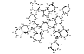 c1ccc(-c2ccc3c(-c4cn(-c5ccccc5)c5ccccc45)c4cc5c(cc4c(-c4cn(-c6ccccc6)c6ccccc46)c3c2)c(-c2ccccc2)c(-c2ccc3ccccc3c2)c2ccccc25)cc1